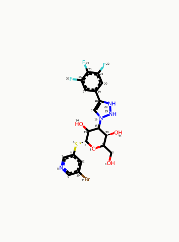 OCC1O[C@H](Sc2cncc(Br)c2)C(O)C(N2C=C(c3cc(F)c(F)c(F)c3)NN2)[C@H]1O